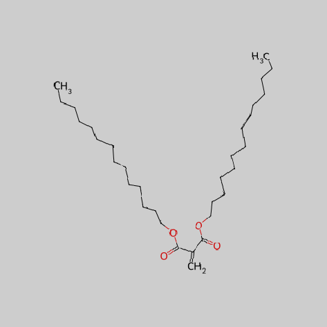 C=C(C(=O)OCCCCCCCCCCCCCC)C(=O)OCCCCCCCCCCCCCC